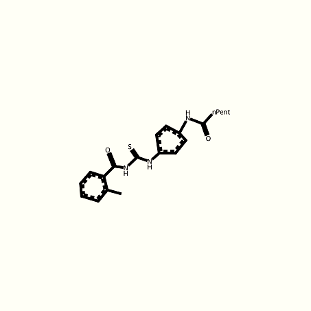 CCCCCC(=O)Nc1ccc(NC(=S)NC(=O)c2ccccc2C)cc1